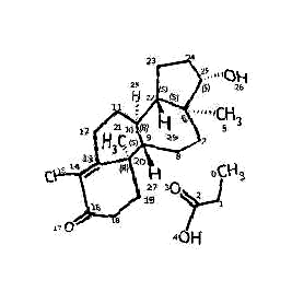 CCC(=O)O.C[C@]12CC[C@H]3[C@@H](CCC4=C(Cl)C(=O)CC[C@@]43C)[C@@H]1CC[C@@H]2O